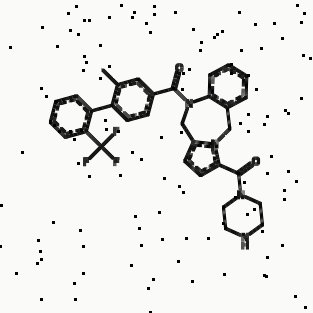 Cc1cc(C(=O)N2Cc3ccc(C(=O)N4CCNCC4)n3Cc3ccccc32)ccc1-c1ccccc1C(F)(F)F